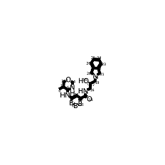 CC1COCNC1Nc1bbbc(C(=O)NC[C@H](O)CN2Cc3ccccc3C2)c1